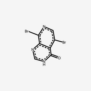 O=c1[nH]cnc2c(Br)ncc(Br)c12